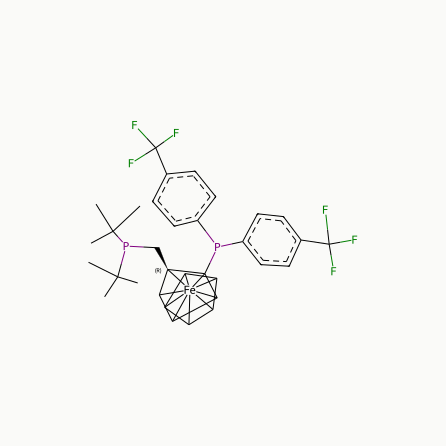 CC(C)(C)P(C[C@@]12[CH]3[CH]4[CH]5[C]1(P(c1ccc(C(F)(F)F)cc1)c1ccc(C(F)(F)F)cc1)[Fe]45321678[CH]2[CH]1[CH]6[CH]7[CH]28)C(C)(C)C